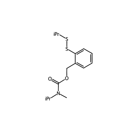 CC(C)SSc1ccccc1COC(=O)N(C)C(C)C